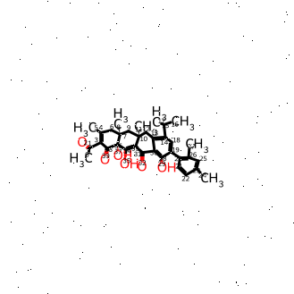 CC(=O)C1=C(C)C[C@@]2(C)C[C@@]3(C)Cc4c(C(C)C)cc(-c5ccc(C)cc5C)c(O)c4C(=O)C3=C(O)[C@@]2(O)C1=O